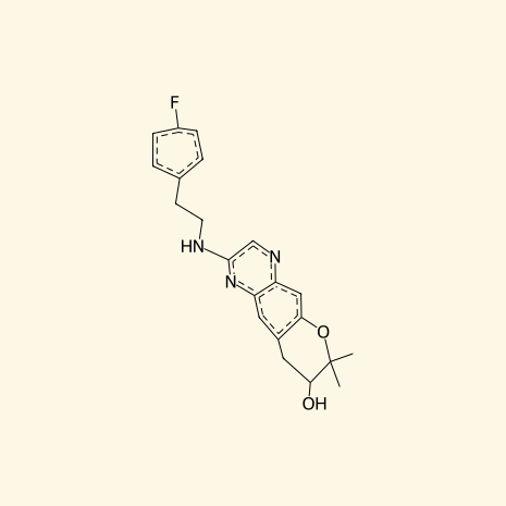 CC1(C)Oc2cc3ncc(NCCc4ccc(F)cc4)nc3cc2CC1O